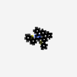 c1ccc(-c2ccc(-c3ccccc3-c3nc(-c4cccc5c4sc4ccccc45)cc(-c4cccc5c4sc4ccccc45)n3)cc2)cc1